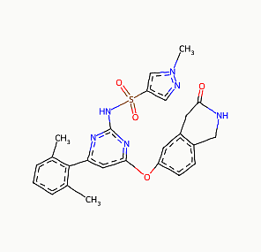 Cc1cccc(C)c1-c1cc(Oc2ccc3c(c2)CC(=O)NC3)nc(NS(=O)(=O)c2cnn(C)c2)n1